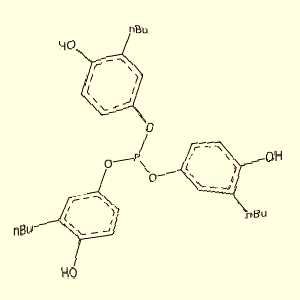 CCCCc1cc(OP(Oc2ccc(O)c(CCCC)c2)Oc2ccc(O)c(CCCC)c2)ccc1O